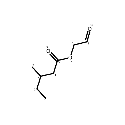 CCC(C)CC(=O)OCC=O